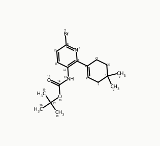 CC1(C)CC=C(c2nc(Br)ccc2NC(=O)OC(C)(C)C)CC1